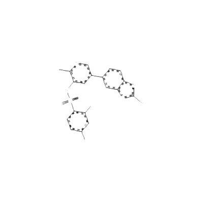 Nc1nc2ccc(-c3cnc(Cl)c(NS(=O)(=O)c4ccc(F)cc4F)c3)cc2s1